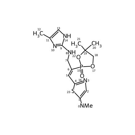 CNc1cnc(/C=C(/CNc2nc(C)c[nH]2)P2(=O)OCC(C)(C)O2)s1